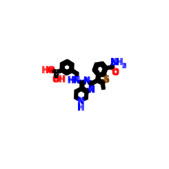 Cc1sc2c(C(N)=O)cccc2c1-c1nc2c(c(NCc3cccc(B(O)O)c3)n1)CCNC2